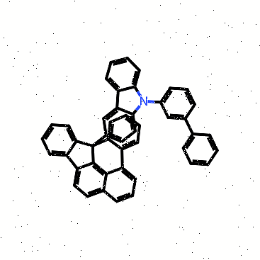 c1ccc(-c2cccc(-n3c4ccccc4c4cc(C56c7ccccc7-c7ccc8cccc(c8c75)-c5ccccc56)ccc43)c2)cc1